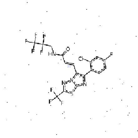 O=C(/C=C/c1c(-c2ccc(F)cc2Cl)nc2sc(C(F)(F)F)nn12)NCC(F)(F)C(F)(F)F